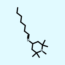 CCCCCCC=NC1CC(C)(C)N(C)C(C)(C)C1